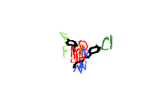 O=S(=O)(c1cc(F)cc(F)c1O)n1c(-c2cccnn2)cc2cc(Cl)ccc21